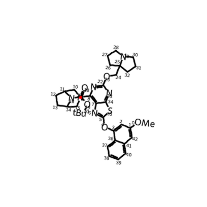 COc1cc(Oc2nc3c(N4CC5CCC(C4)N5C(=O)OC(C)(C)C)nc(OCC45CCCN4CCC5)nc3s2)c2ccccc2c1